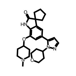 CN1CCC(Oc2cc(-c3ccnn3C3CCOCC3)cc3c2NC(=O)C32CCCC2)CC1